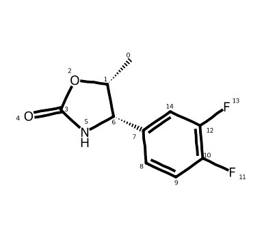 C[C@H]1OC(=O)N[C@H]1c1ccc(F)c(F)c1